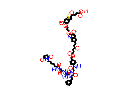 COc1cc2sc(C(=O)CCC(=O)O)cc2cc1OCCCOc1nc2c(cc1OC)CC(CCC(=O)CCC(=O)OCc1ccc(NC(=O)CNC(=O)C(Cc3ccccc3)NC(=O)CNC(=O)CNC(=O)CCCCCN3C(=O)C=CC3=O)cc1)C2